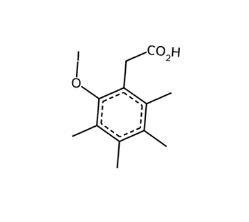 Cc1c(C)c(C)c(OI)c(CC(=O)O)c1C